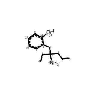 CCCC(N)(CC)Cc1ccccc1O